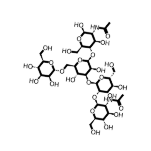 CC(=O)N[C@@H]1[C@@H](O)[C@H](O[C@@H]2O[C@H](CO[C@H]3O[C@H](CO)[C@@H](O)[C@H](O)[C@@H]3O)[C@@H](O)[C@H](O[C@H]3O[C@H](CO)[C@@H](O)[C@H](O)[C@@H]3O[C@@H]3O[C@H](CO)[C@@H](O)[C@H](O)[C@H]3NC(C)=O)[C@@H]2O)[C@@H](CO)O[C@H]1O